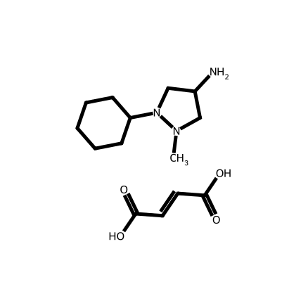 CN1CC(N)CN1C1CCCCC1.O=C(O)C=CC(=O)O